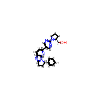 OC[C@@H]1CCCN1c1ncc(-c2ccc3nc4n(c3n2)[C@@H](c2ccccc2)CC4)cn1